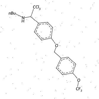 CCCCNC(c1ccc(OCc2ccc(OC(F)(F)F)cc2)cc1)C(Cl)(Cl)Cl